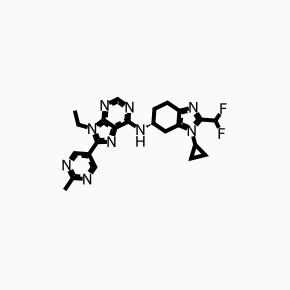 CCn1c(-c2cnc(C)nc2)nc2c(N[C@@H]3CCc4nc(C(F)F)n(C5CC5)c4C3)ncnc21